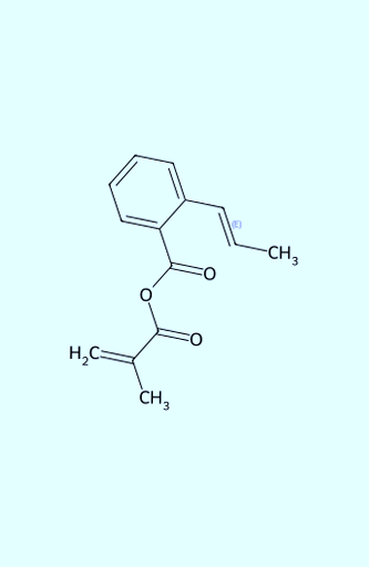 C=C(C)C(=O)OC(=O)c1ccccc1/C=C/C